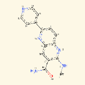 CC(C)Nc1nc2ccc(-c3ccncc3)nc2cc1C(N)=O